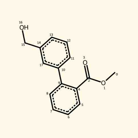 COC(=O)c1ccccc1-c1cccc(CO)c1